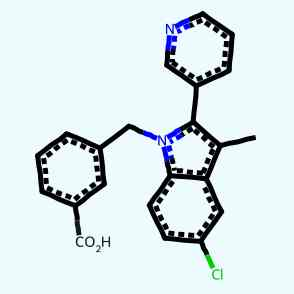 Cc1c(-c2cccnc2)n(Cc2cccc(C(=O)O)c2)c2ccc(Cl)cc12